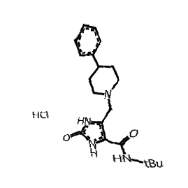 CC(C)(C)NC(=O)c1[nH]c(=O)[nH]c1CN1CCC(c2ccccc2)CC1.Cl